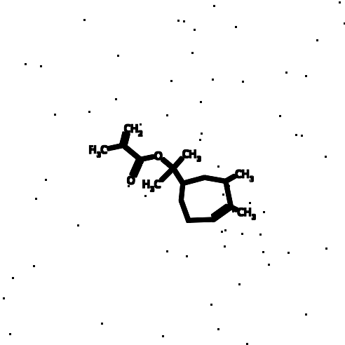 C=C(C)C(=O)OC(C)(C)C1CCC=C(C)C(C)C1